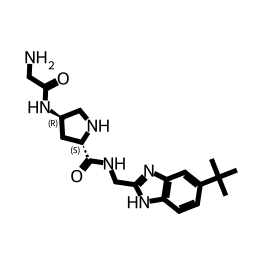 CC(C)(C)c1ccc2[nH]c(CNC(=O)[C@@H]3C[C@@H](NC(=O)CN)CN3)nc2c1